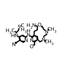 CSCC(C)Nc1cc(Nc2nc(C=O)c(CN(C)CCN(C)CC=O)cc2CCCN)ncc1C#N